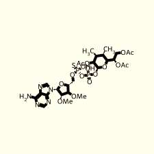 COC1[C@@H](COP(O)(=S)OP(=O)(O)O[C@@H]2OC([C@@H](COC(C)=O)OC(C)=O)[C@@H](C)[C@H](C)C2OC(C)=O)O[C@@H](n2cnc3c(N)ncnc32)[C@H]1OC